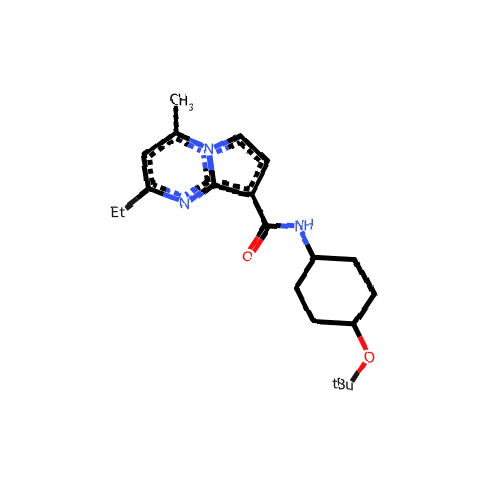 CCc1cc(C)n2ccc(C(=O)NC3CCC(OC(C)(C)C)CC3)c2n1